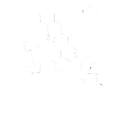 C#Cc1c(F)ccc2cc(OC(=O)OC(C)C)cc(N3CCc4c(nc(OC[C@]5(C)C[C@@H](F)CN5C)nc4N(C)C[C@@H]4CCCN4C(=O)C=C)C3)c12